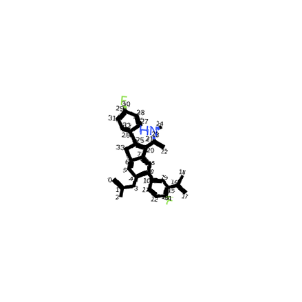 C=C(C)Cc1cc2c(cc1-c1ccc(F)c(C(=C)C)c1)C(C(=C)NC)=C(c1ccc(F)cc1)C2